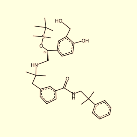 CC(C)(Cc1cccc(C(=O)NCC(C)(C)c2ccccc2)c1)NC[C@@H](O[Si](C)(C)C(C)(C)C)c1ccc(O)c(CO)c1